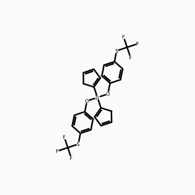 FC(F)(F)Sc1ccc([O][Zr]([O]c2ccc(SC(F)(F)F)cc2)([C]2=CC=CC2)[C]2=CC=CC2)cc1